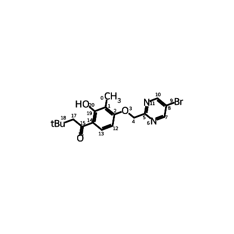 Cc1c(OCc2ncc(Br)cn2)ccc(C(=O)CC(C)(C)C)c1O